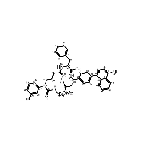 COC(=O)C[C@H](NC(=O)[C@H](Cc1ccccc1)NC(=O)CCCN(C(=O)OC(C)(C)C)c1cc(C)ccn1)c1ccc(-c2ccc(O)c3ccccc23)cc1